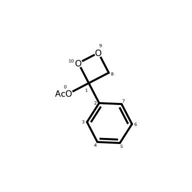 CC(=O)OC1(c2ccccc2)COO1